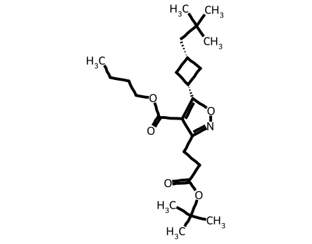 CCCCOC(=O)c1c(CCC(=O)OC(C)(C)C)noc1[C@H]1C[C@@H](CC(C)(C)C)C1